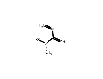 C=NC(=C)[S@+](C)[O-]